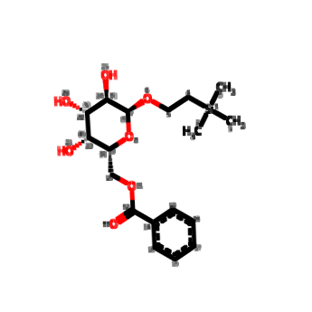 C[Si](C)(C)CCO[C@H]1O[C@H](COC(=O)c2ccccc2)[C@H](O)[C@H](O)[C@H]1O